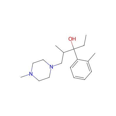 CCC(O)(c1ccccc1C)C(C)CN1CCN(C)CC1